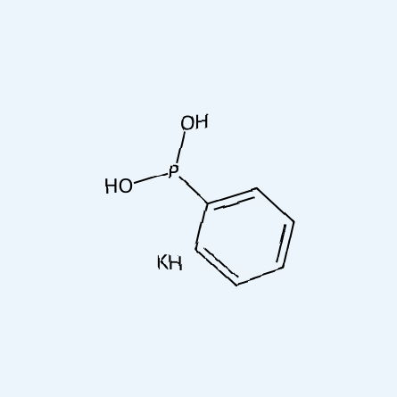 OP(O)c1ccccc1.[KH]